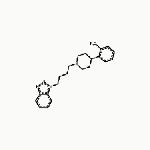 FC(F)(F)c1ccccc1C1CCN(CCCCn2nnc3ccccc32)CC1